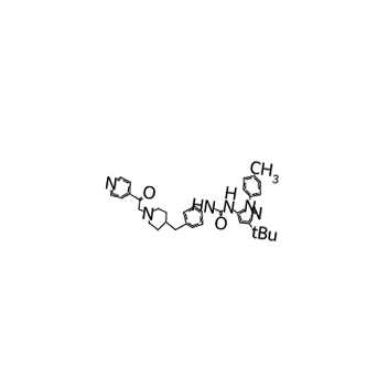 Cc1ccc(-n2nc(C(C)(C)C)cc2NC(=O)Nc2ccc(CC3CCN(CC(=O)c4ccncc4)CC3)cc2)cc1